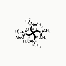 CO[Si](C)(C)CC(CN(C)C)(CN(C)C)CN(C)C